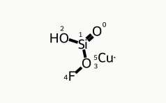 O=[Si](O)OF.[Cu]